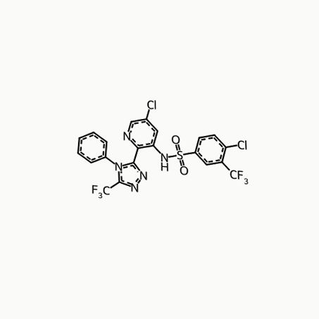 O=S(=O)(Nc1cc(Cl)cnc1-c1nnc(C(F)(F)F)n1-c1ccccc1)c1ccc(Cl)c(C(F)(F)F)c1